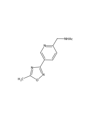 CC(=O)NCc1ccc(-c2noc(C)n2)cn1